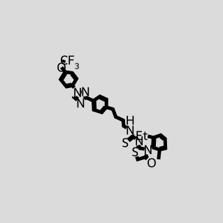 CCc1cccc(C)c1N1C(=O)CS/C1=N\C(=S)NCCCCc1ccc(-c2ncn(-c3ccc(OC(F)(F)F)cc3)n2)cc1